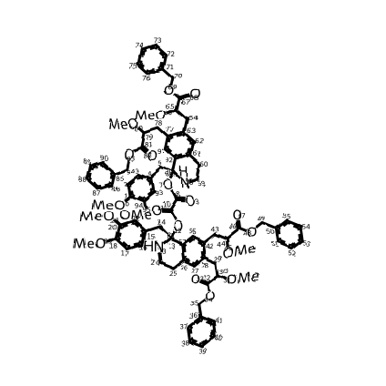 COc1ccc(C[C@]2(OC(=O)C(=O)O[C@@]3(Cc4ccc(OC)c(OC)c4)NCCc4cc(CC(OC)C(=O)OCc5ccccc5)c(CC(OC)C(=O)OCc5ccccc5)cc43)NCCc3cc(CC(OC)C(=O)OCc4ccccc4)c(CC(OC)C(=O)OCc4ccccc4)cc32)cc1OC